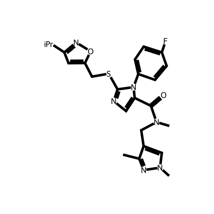 Cc1nn(C)cc1CN(C)C(=O)c1cnc(SCc2cc(C(C)C)no2)n1-c1ccc(F)cc1